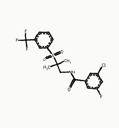 CC(C)(CNC(=O)c1cc(F)cc(Cl)c1)S(=O)(=O)c1cccc(C(F)(F)F)c1